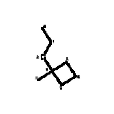 CCOC1(C)CCC1